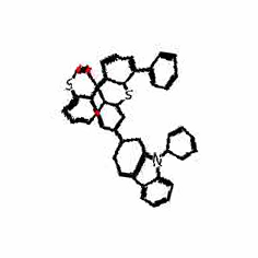 C1=CCC(n2c3c(c4ccccc42)CCC(C2C=CC4C(C2)SC2C(c5ccccc5)=CC=CC2C42c4ccccc4Sc4ccccc42)C3)C=C1